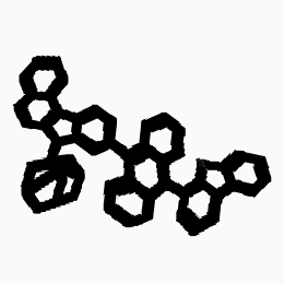 c1ccc2c3c(ccc2c1)C(C12CC4CC(CC(C4)C1)C2)c1cc(-c2c4ccccc4c(-c4cccc5c4oc4ccccc45)c4ccccc24)ccc1-3